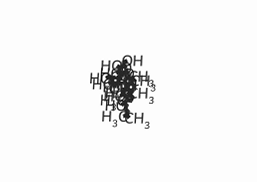 CC(C)=CCC[C@](C)(O)C1CC[C@]2(C)C1C(O)CC1C3(C)CCC(OC4OC(CO)C(O)C(O)C4OC4OC(CO)C(O)C(O)C4O)C(C)(C)C3CCC12C